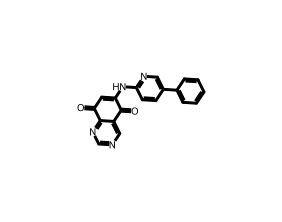 O=C1C(Nc2ccc(-c3ccccc3)cn2)=CC(=O)c2ncncc21